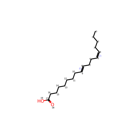 CCCC/C=C\CC/C=C/CCCCCCCC(=O)O